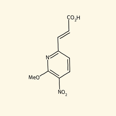 COc1nc(/C=C/C(=O)O)ccc1[N+](=O)[O-]